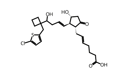 O=C(O)CCCC=CC[C@H]1C(=O)C[C@@H](O)[C@@H]1C=CCC(O)C1(Cc2ccc(Cl)s2)CCC1